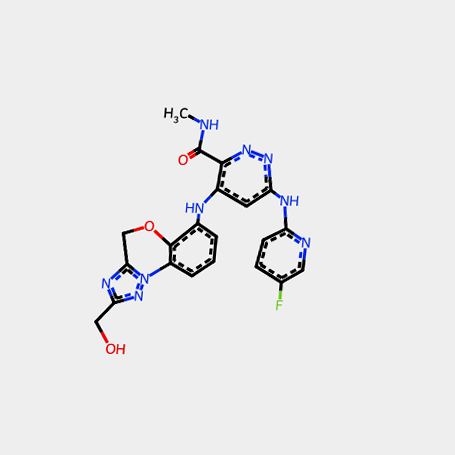 CNC(=O)c1nnc(Nc2ccc(F)cn2)cc1Nc1cccc2c1OCc1nc(CO)nn1-2